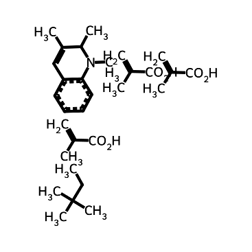 C=C(C)C(=O)O.C=C(C)C(=O)O.C=C(C)C(=O)O.CC1=Cc2ccccc2N(C)C1C.CCC(C)(C)C